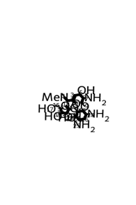 CNCC1=C[C@H](O)[C@@H](N)[C@@H](O[C@H]2[C@H](O[C@@H]3O[C@H](CO)[C@@H](O)[C@H]3O)[C@@H](O)[C@H](N)C[C@@H]2N)O1